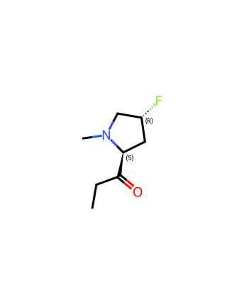 CCC(=O)[C@@H]1C[C@@H](F)CN1C